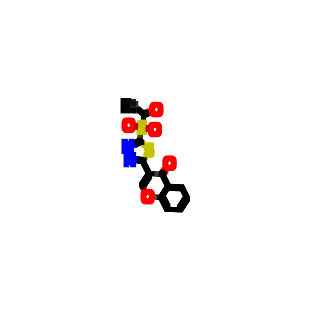 CCC(=O)S(=O)(=O)c1nnc(-c2coc3ccccc3c2=O)s1